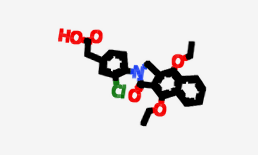 CCOc1c2c(c(OCC)c3ccccc13)C(=O)N(c1ccc(CC(=O)O)cc1Cl)C2